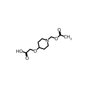 CC(=O)OCN1CCC(OCC(=O)O)CC1